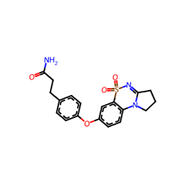 NC(=O)CCc1ccc(Oc2ccc3c(c2)S(=O)(=O)N=C2CCCN23)cc1